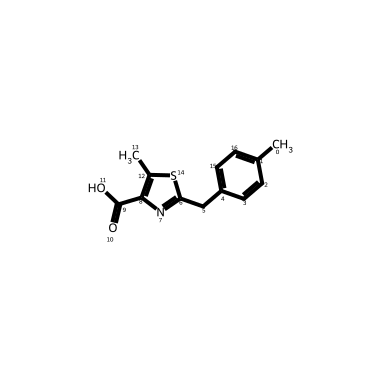 Cc1ccc(Cc2nc(C(=O)O)c(C)s2)cc1